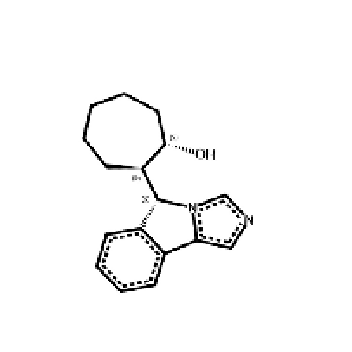 O[C@H]1CCCCC[C@@H]1[C@H]1c2ccccc2-c2cncn21